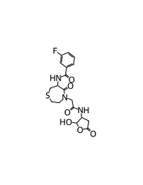 O=C(CN1CCSCC(NC(=O)c2cccc(F)c2)C1=O)NC1CC(=O)OC1O